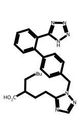 CCC(C)CC(CCc1ncnn1Cc1ccc(-c2ccccc2-c2nnn[nH]2)cc1)C(=O)O